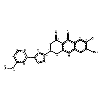 COc1cc2[nH]c3c(c(=O)c2cc1Cl)C(=O)CC(c1ccc(-c2cccc(OC(F)(F)F)c2)s1)C3